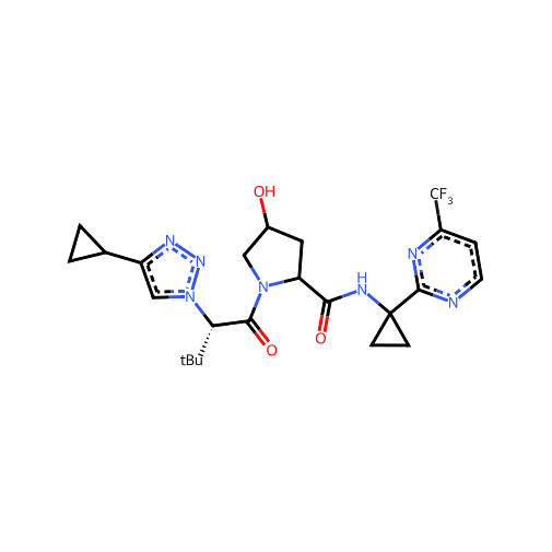 CC(C)(C)[C@@H](C(=O)N1CC(O)CC1C(=O)NC1(c2nccc(C(F)(F)F)n2)CC1)n1cc(C2CC2)nn1